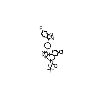 CC(C)(C)OC(=O)N1Cc2cc(Cl)ccc2-n2c(nnc2[C@H]2CC[C@H](c3noc4cc(F)ccc43)CC2)C1